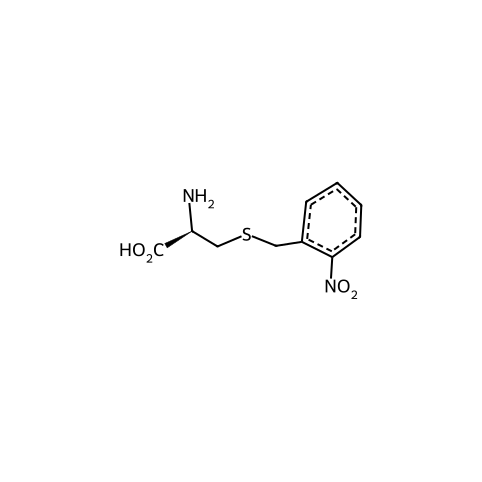 N[C@@H](CSCc1ccccc1[N+](=O)[O-])C(=O)O